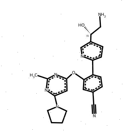 Cc1nc(Oc2cc(C#N)ccc2-c2ccc([C@H](O)CN)cn2)cc(N2CCCC2)n1